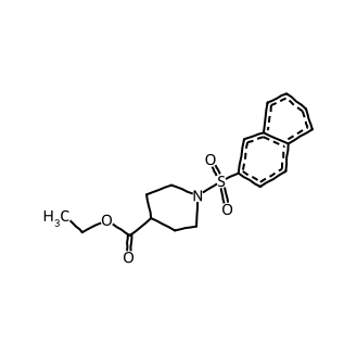 CCOC(=O)C1CCN(S(=O)(=O)c2ccc3ccccc3c2)CC1